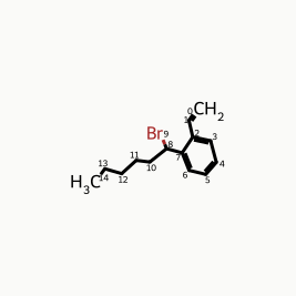 C=Cc1ccccc1C(Br)CCCCC